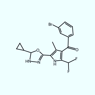 Cc1c(C2=NNC(C3CC3)O2)[nH]c(C(F)F)c1C(=O)c1cccc(Br)c1